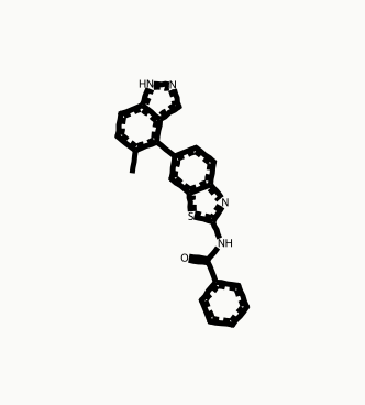 Cc1ccc2[nH]ncc2c1-c1ccc2nc(NC(=O)c3ccccc3)sc2c1